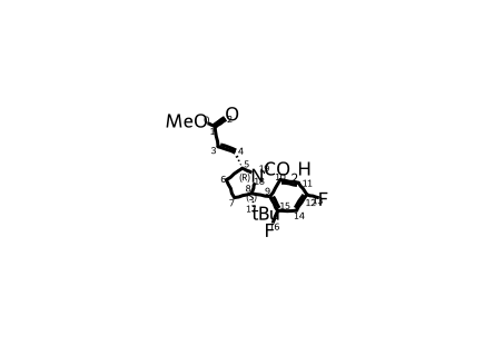 COC(=O)C=C[C@H]1CC[C@@](c2ccc(F)cc2F)(C(C)(C)C)N1C(=O)O